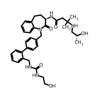 C[C@@H](O)CNC(C)(C)CC(=O)N[C@@H]1CCc2ccccc2N(Cc2ccc(-c3ccccc3CNC(=O)NCCO)cc2)C1=O